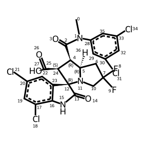 CN(C(=O)[C@H]1[C@H]2CC(F)(F)CN2[C@]2(C(=O)Nc3c(Cl)cc(Cl)cc32)[C@H]1C(=O)O)c1cc(Cl)cc(Cl)c1